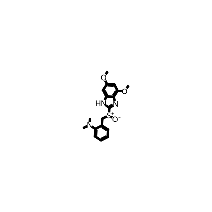 COc1cc(OC)c2nc([S+]([O-])Cc3ccccc3N(C)C)[nH]c2c1